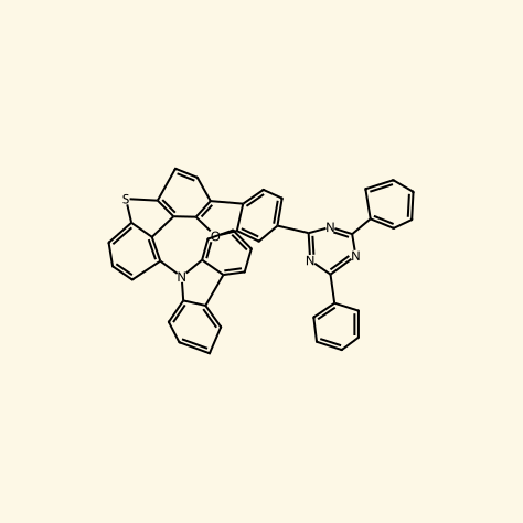 c1ccc(-c2nc(-c3ccccc3)nc(-c3ccc4c(c3)oc3c4ccc4sc5cccc(-n6c7ccccc7c7ccccc76)c5c43)n2)cc1